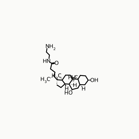 C[C@H](CCC(=O)NCCN)[C@H]1CC[C@H]2[C@@H]3[C@@H](O)C[C@@H]4C[C@H](O)CC[C@]4(C)[C@H]3CC[C@]12C